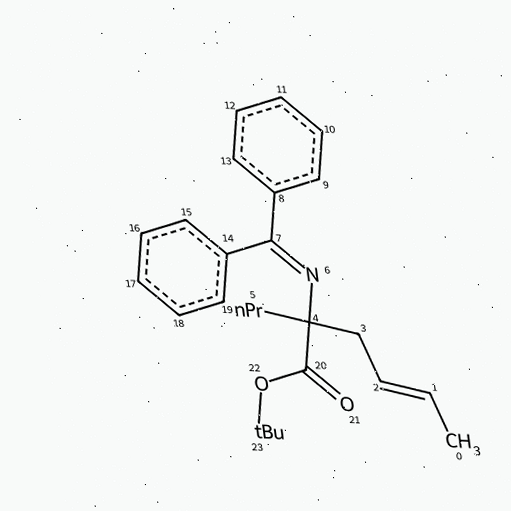 CC=CCC(CCC)(N=C(c1ccccc1)c1ccccc1)C(=O)OC(C)(C)C